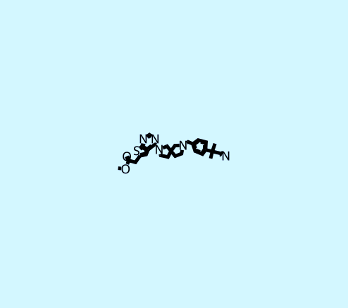 COC(=O)Cc1cc2c(N3CCC4(CCN(Cc5ccc(C(C)(C)C#N)cc5)C4)C3)ncnc2s1